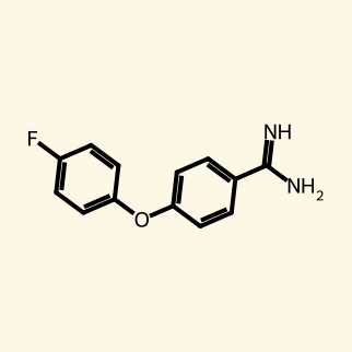 N=C(N)c1ccc(Oc2ccc(F)cc2)cc1